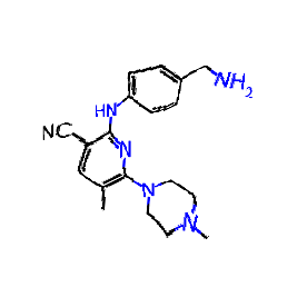 Cc1cc(C#N)c(Nc2ccc(CN)cc2)nc1N1CCN(C)CC1